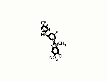 Cn1c(N2C[C@H](F)C[C@@H](Nc3ncc(C(F)(F)F)cn3)C2)nc2cc([N+](=O)[O-])c(Cl)cc21